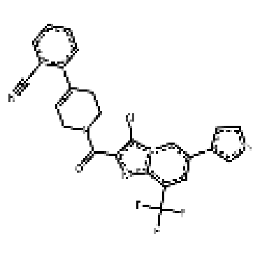 N#Cc1ccccc1C1=CCN(C(=O)c2nc3c(C(F)(F)F)cc(-c4ccoc4)cn3c2Cl)CC1